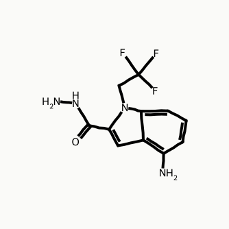 NNC(=O)c1cc2c(N)cccc2n1CC(F)(F)F